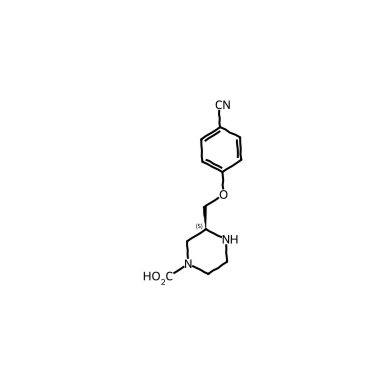 N#Cc1ccc(OC[C@@H]2CN(C(=O)O)CCN2)cc1